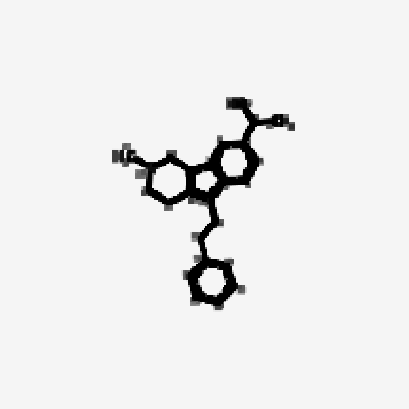 CC(O)c1ccc2c(c1)c1c(n2CCc2ccccc2)CCN(C)C1